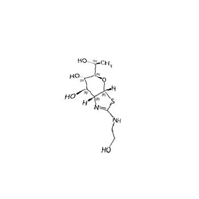 C[C@H](O)[C@H]1O[C@@H]2SC(NCCO)=N[C@@H]2[C@@H](O)[C@@H]1O